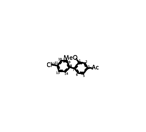 COc1cc(C(C)=O)ccc1-c1ccc(Cl)cc1